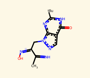 CC(=N)/C(Cn1ncc2c(=O)[nH]c(C(C)(C)C)nc21)=N\O